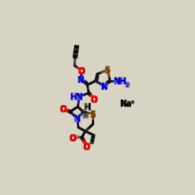 C#CCON=C(C(=O)NC1C(=O)N2CC(C=C)(C(=O)[O-])CS[C@H]12)c1csc(N)n1.[Na+]